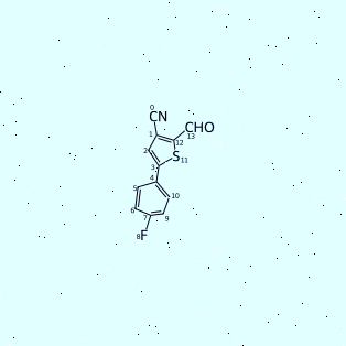 N#Cc1cc(-c2ccc(F)cc2)sc1C=O